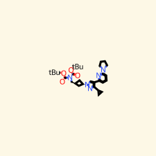 CC(C)(C)OC(=O)N(C[C@H]1C[C@H](n2cc(-c3cccc(N4CCCC4)n3)c(C3CC3)n2)C1)C(=O)OC(C)(C)C